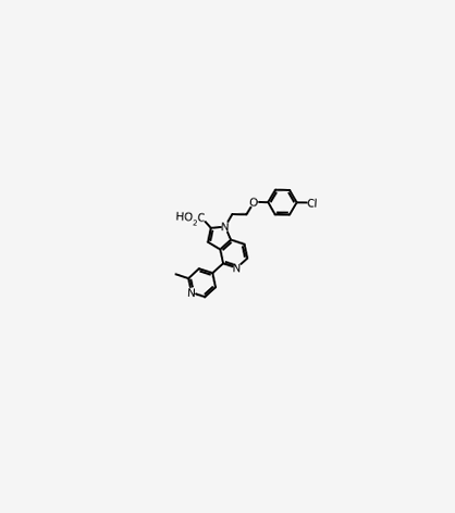 Cc1cc(-c2nccc3c2cc(C(=O)O)n3CCOc2ccc(Cl)cc2)ccn1